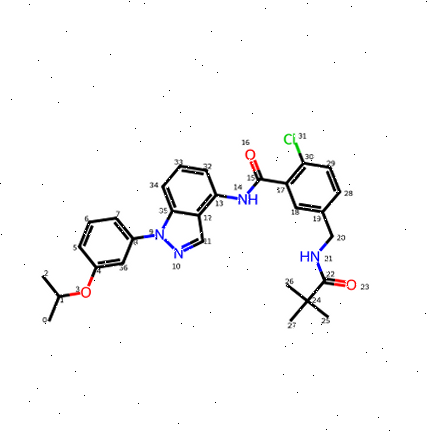 CC(C)Oc1cccc(-n2ncc3c(NC(=O)c4cc(CNC(=O)C(C)(C)C)ccc4Cl)cccc32)c1